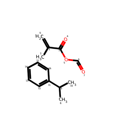 C=C(C)C(=O)OC=O.CC(C)c1ccccc1